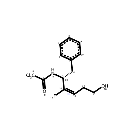 O=C(N[C@H](Cc1ccccc1)/C(F)=C\CCO)C(Cl)(Cl)Cl